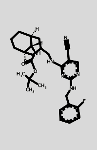 CC(C)(C)OC(=O)N[C@@H]1[C@@H]2CCC[C@H]1CC(CNc1nc(NCc3ccccc3F)ncc1C#N)C2